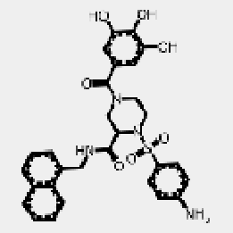 Nc1ccc(S(=O)(=O)N2CCN(C(=O)c3cc(O)c(O)c(O)c3)CC2C(=O)NCc2cccc3ccccc23)cc1